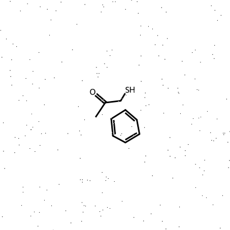 CC(=O)CS.c1ccccc1